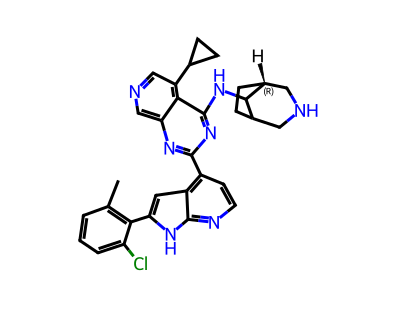 Cc1cccc(Cl)c1-c1cc2c(-c3nc(NC4C5CC[C@@H]4CNC5)c4c(C5CC5)cncc4n3)ccnc2[nH]1